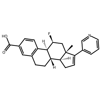 C[C@]12C[C@H](F)[C@@H]3c4ccc(C(=O)O)cc4CC[C@H]3[C@@H]1CC=C2c1cccnc1